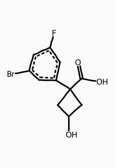 O=C(O)C1(c2cc(F)cc(Br)c2)CC(O)C1